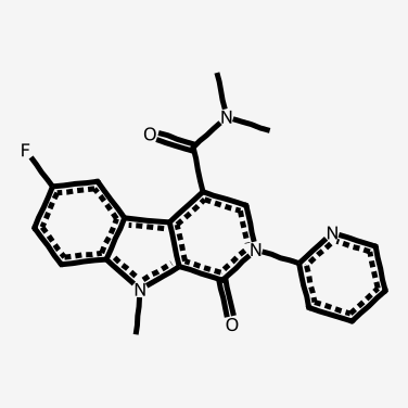 CN(C)C(=O)c1cn(-c2ccccn2)c(=O)c2c1c1cc(F)ccc1n2C